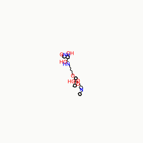 O=C(OCC1CCN(Cc2ccccc2)CC1)C(O)(c1ccccc1)c1cccc(OCCCCCCCNC[C@H](O)c2ccc(O)c3[nH]c(=O)ccc23)c1